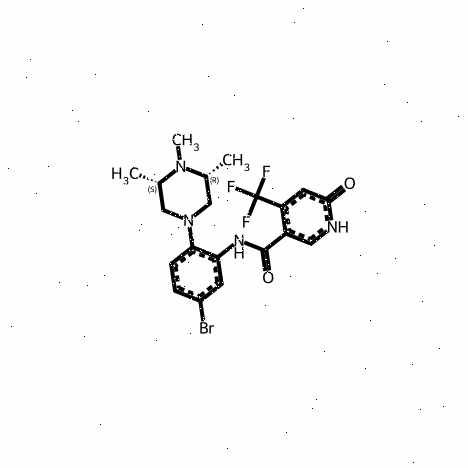 C[C@@H]1CN(c2ccc(Br)cc2NC(=O)c2c[nH]c(=O)cc2C(F)(F)F)C[C@H](C)N1C